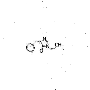 C/C=C\n1cnn(Cc2ccccc2)c1=O